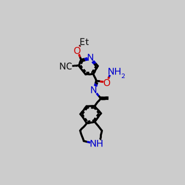 C=C(/N=C(\ON)c1cnc(OCC)c(C#N)c1)c1ccc2c(c1)CCNCC2